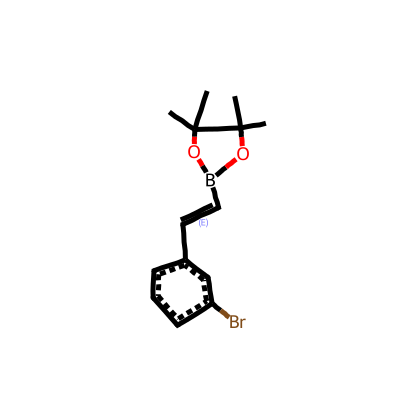 CC1(C)OB(/C=C/c2cccc(Br)c2)OC1(C)C